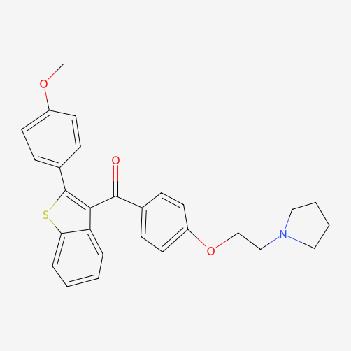 COc1ccc(-c2sc3ccccc3c2C(=O)c2ccc(OCCN3CCCC3)cc2)cc1